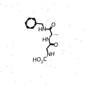 C[C@H](NC(=O)CNC(=O)O)C(=O)NCc1ccccc1